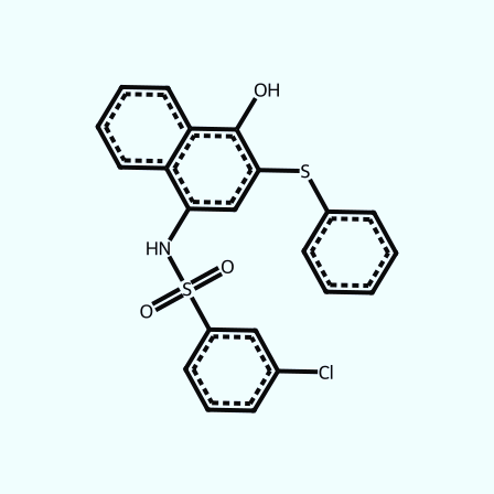 O=S(=O)(Nc1cc(Sc2ccccc2)c(O)c2ccccc12)c1cccc(Cl)c1